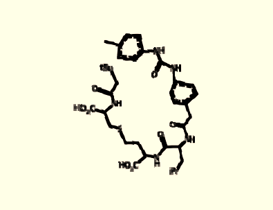 Cc1ccc(NC(=O)Nc2ccc(CC(=O)NC(CC(C)C)C(=O)NC(CCSCC(NC(=O)CC(C)(C)C)C(=O)O)C(=O)O)cc2)cc1